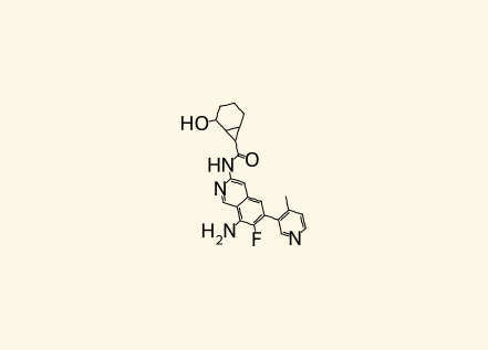 Cc1ccncc1-c1cc2cc(NC(=O)C3C4CCCC(O)C43)ncc2c(N)c1F